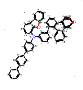 c1ccc(-c2ccc(-c3ccc(N(c4cccc(-c5cccc(-c6ccccc6)c5-c5ccccc5-c5ccccc5)c4)c4cccc5c4oc4ccccc45)cc3)cc2)cc1